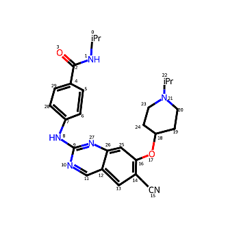 CC(C)NC(=O)c1ccc(Nc2ncc3cc(C#N)c(OC4CCN(C(C)C)CC4)cc3n2)cc1